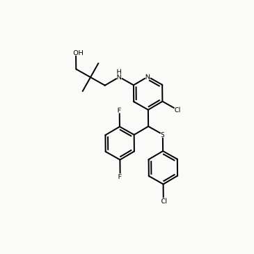 CC(C)(CO)CNc1cc(C(Sc2ccc(Cl)cc2)c2cc(F)ccc2F)c(Cl)cn1